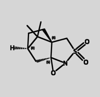 CC1(C)[C@@H]2CC[C@]13CS(=O)(=O)N1O[C@]13C2